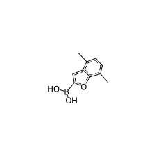 Cc1ccc(C)c2oc(B(O)O)cc12